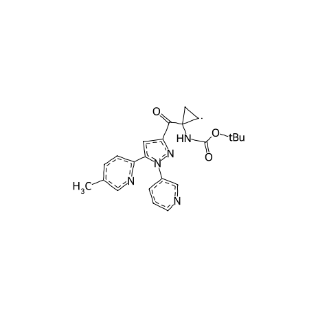 Cc1ccc(-c2cc(C(=O)C3(NC(=O)OC(C)(C)C)[CH]C3)nn2-c2cccnc2)nc1